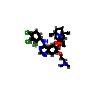 C=CC(=O)N1[C@@H]2CC[C@H]1C[C@H](Oc1cc3c(Nc4ccc(Cl)c(Cl)c4F)ncnc3cc1OCCN(C)C)C2